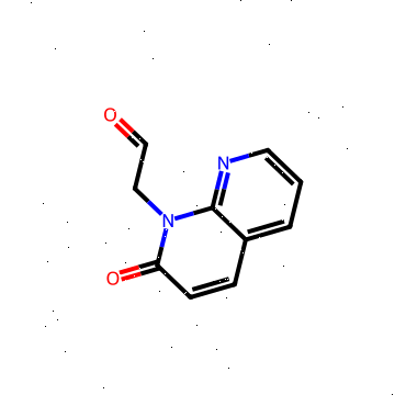 O=CCn1c(=O)ccc2cccnc21